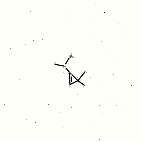 CCC(C)N(C)C1=CC1(C)C